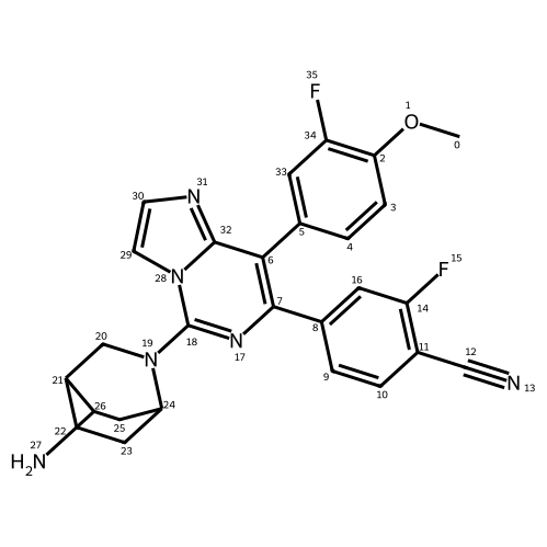 COc1ccc(-c2c(-c3ccc(C#N)c(F)c3)nc(N3CC4CCC3CC4N)n3ccnc23)cc1F